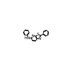 c1ccc(Nc2ccc3nc(-c4ccccc4)sc3n2)cc1